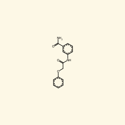 NC(=O)c1cccc(NC(=O)COc2ccccc2)c1